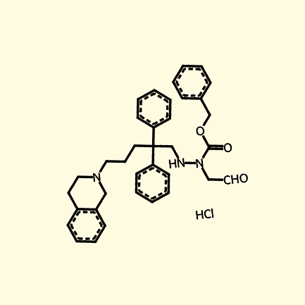 Cl.O=CCN(NCC(CCCN1CCc2ccccc2C1)(c1ccccc1)c1ccccc1)C(=O)OCc1ccccc1